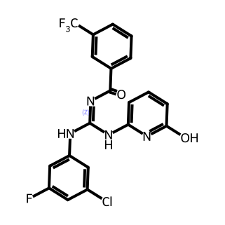 O=C(/N=C(/Nc1cc(F)cc(Cl)c1)Nc1cccc(O)n1)c1cccc(C(F)(F)F)c1